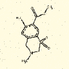 COC(=O)c1cc2c(cc1C)CN(C)CS2(=O)=O